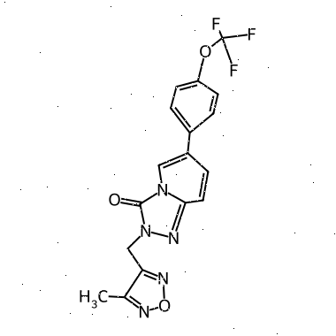 Cc1nonc1Cn1nc2ccc(-c3ccc(OC(F)(F)F)cc3)cn2c1=O